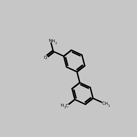 Cc1cc(C)cc(-c2cccc(C(N)=O)c2)c1